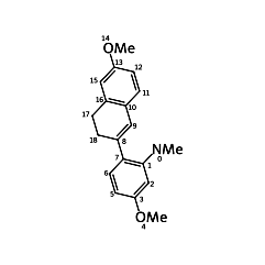 CNc1cc(OC)ccc1C1=Cc2ccc(OC)cc2CC1